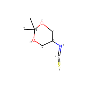 CC1(C)OCC(N=C=S)CO1